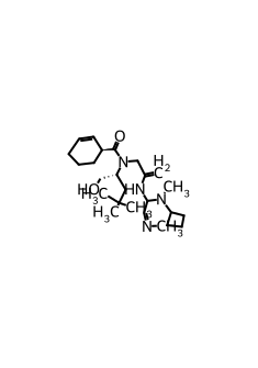 C=C(CN(C(=O)[C@@H]1C=CCCC1)[C@@H](CO)CC(C)(C)C)NC(/C=N\C)N(C)C1CCC1